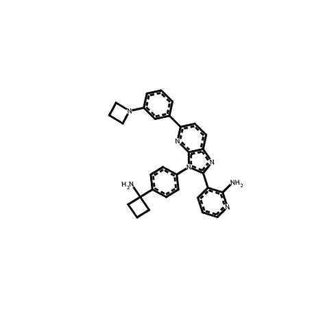 Nc1ncccc1-c1nc2ccc(-c3cccc(N4CCC4)c3)nc2n1-c1ccc(C2(N)CCC2)cc1